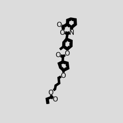 C=CC(=O)OCCCCOc1ccc(C(=O)Oc2ccc(-c3nc4ccccc4c(=O)o3)cc2C)cc1